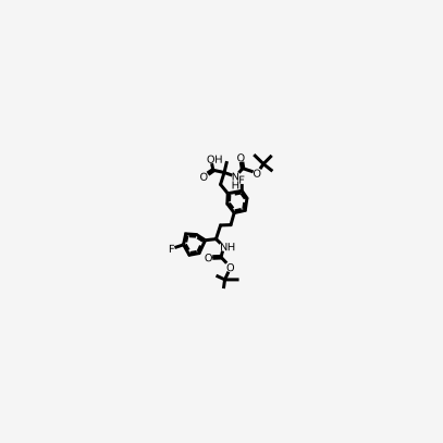 CC(C)(C)OC(=O)NC(CCc1ccc(F)c(CC(C)(NC(=O)OC(C)(C)C)C(=O)O)c1)c1ccc(F)cc1